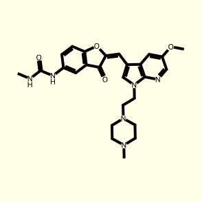 CNC(=O)Nc1ccc2c(c1)C(=O)/C(=C\c1cn(CCN3CCN(C)CC3)c3ncc(OC)cc13)O2